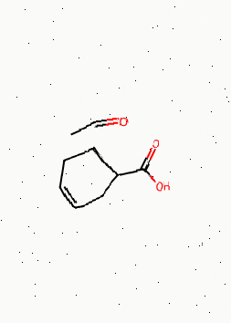 CC=O.O=C(O)C1CC=CCC1